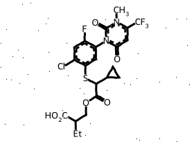 CCC(COC(=O)C(Sc1cc(-n2c(=O)cc(C(F)(F)F)n(C)c2=O)c(F)cc1Cl)C1CC1)C(=O)O